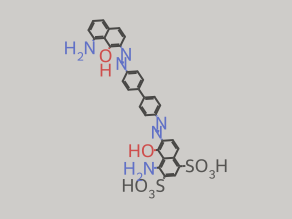 Nc1cccc2ccc(N=Nc3ccc(-c4ccc(N=Nc5ccc6c(S(=O)(=O)O)cc(S(=O)(=O)O)c(N)c6c5O)cc4)cc3)c(O)c12